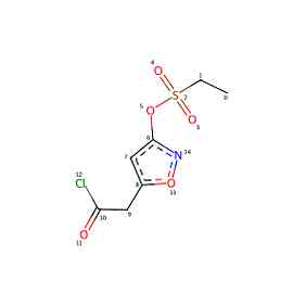 CCS(=O)(=O)Oc1cc(CC(=O)Cl)on1